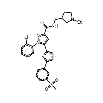 CCN1CCC(CNC(=O)c2cc(-c3ccc(-c4cccc(S(C)(=O)=O)c4)s3)n(-c3ccccc3Cl)n2)C1